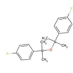 C[Si](C)(O[Si](C)(C)c1ccc(F)cc1)c1ccc(F)cc1